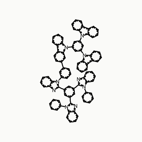 c1ccc(-n2c(-c3cc(-c4nc5ccccc5n4-c4ccccc4)cc(-c4nc5ccccc5n4-c4cccc(-c5ccc6c7ccccc7n(-c7cc(-n8c9ccccc9c9ccccc98)cc(-n8c9ccccc9c9ccccc98)c7)c6c5)c4)c3)nc3ccccc32)cc1